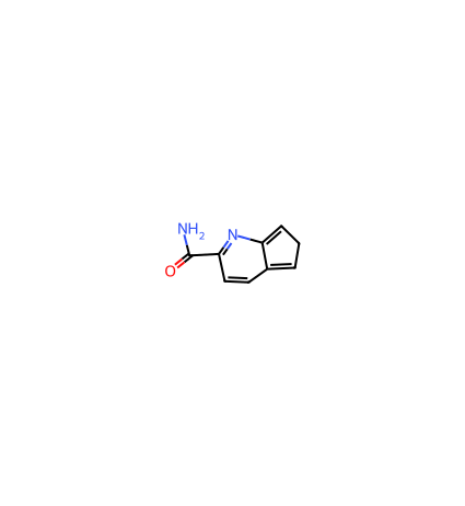 NC(=O)c1ccc2c(n1)=CCC=2